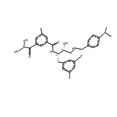 CCCN(CCC)C(=O)c1cc(C)cc(C(=O)N[C@@H](Cc2cc(F)cc(F)c2)[C@H](O)CNCc2ccc(N(C)C)cc2)c1